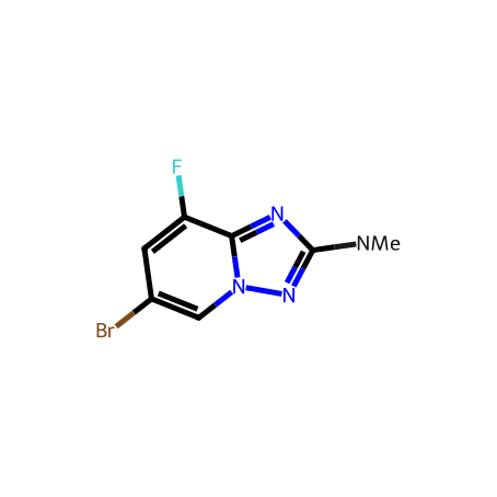 CNc1nc2c(F)cc(Br)cn2n1